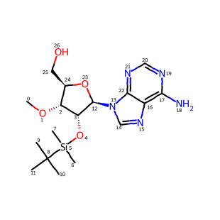 CO[C@H]1[C@@H](O[Si](C)(C)C(C)(C)C)[C@H](n2cnc3c(N)ncnc32)O[C@@H]1CO